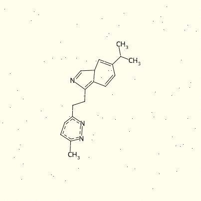 Cc1ccc(CCC2=C3C=CC(C(C)C)=CC3C=N2)nn1